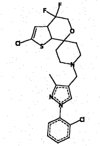 Cc1nn(-c2ccccc2Cl)cc1CN1CCC2(CC1)OCC(F)(F)C1C=C(Cl)SC12